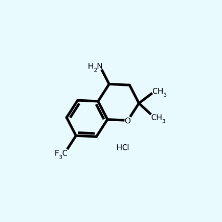 CC1(C)CC(N)c2ccc(C(F)(F)F)cc2O1.Cl